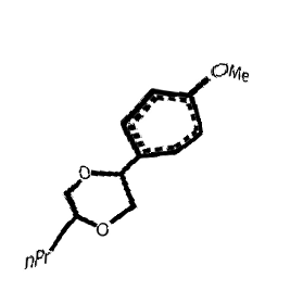 CCCC1COC(c2ccc(OC)cc2)CO1